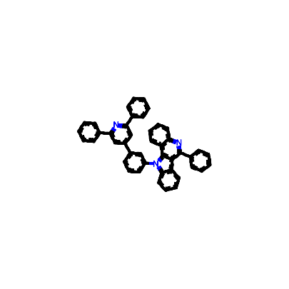 c1ccc(-c2cc(-c3cccc(-n4c5ccccc5c5c(-c6ccccc6)nc6ccccc6c54)c3)cc(-c3ccccc3)n2)cc1